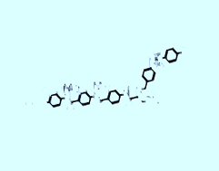 COc1c(NC(=O)c2ccc(NC(=O)c3ccc(NC(=O)[C@H](CC#N)NC(=O)c4ccc(NS(=O)(=O)c5ccc(F)cc5)cc4)cc3)c(OC)c2O)ccc(C(=O)O)c1O